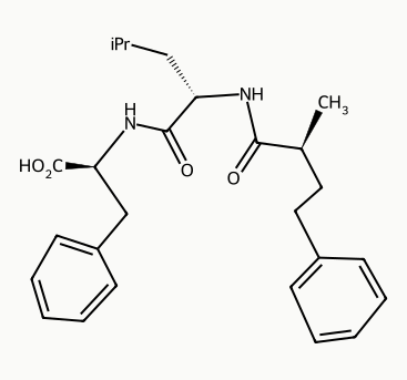 CC(C)C[C@H](NC(=O)[C@@H](C)CCc1ccccc1)C(=O)N[C@@H](Cc1ccccc1)C(=O)O